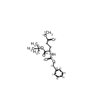 COC(=O)CCC(NC(=O)OCc1ccccc1)C(=O)OC(C)(C)C